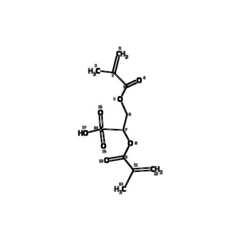 C=C(C)C(=O)OCC(OC(=O)C(=C)C)S(=O)(=O)O